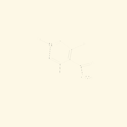 COC(=O)c1c(C)c[n+]([O-])cc1F